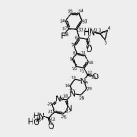 O=C(NC1CC1)C(=Cc1ccc(C(=O)N2CCN(c3ncc(C(=O)NO)cn3)CC2)cc1)c1ccccc1F